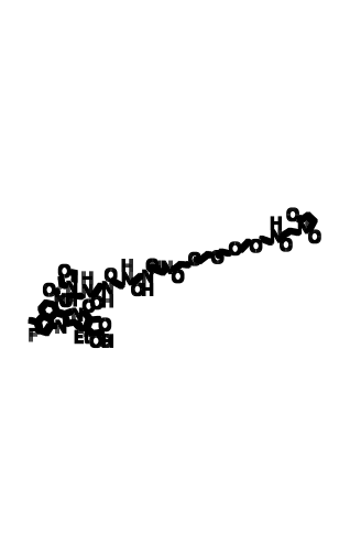 CC[C@]1(O)C(=O)OCc2c1cc1n(c2=O)Cc2c-1nc1cc(F)c(C)c3c1c2[C@H](NC(=O)[C@@H]1COCCN1C(=O)CNC(=O)CNC(=O)CNC(=O)CNC(=O)CNC(=O)CCOCCOCCOCCOCCNC(=O)CCN1C(=O)C=CC1=O)CC3